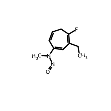 CCC1=C(F)CC=CC(N(C)N=O)=C1